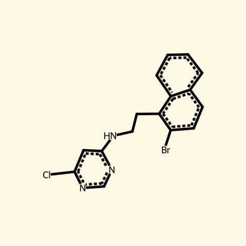 Clc1cc(NCCc2c(Br)ccc3ccccc23)ncn1